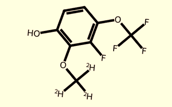 [2H]C([2H])([2H])Oc1c(O)ccc(OC(F)(F)F)c1F